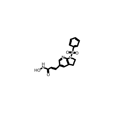 O=C(/C=C/c1cnc2c(c1)CCN2S(=O)(=O)c1ccccc1)NO